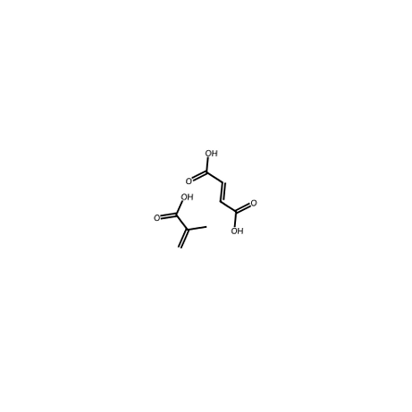 C=C(C)C(=O)O.O=C(O)/C=C/C(=O)O